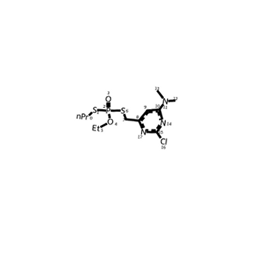 CCCSP(=O)(OCC)SCc1cc(N(C)C)nc(Cl)n1